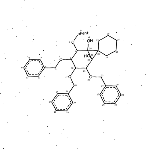 CCCCCOC1C(OCc2ccccc2)C(OCc2ccccc2)C(OCc2ccccc2)C2(O)C3(CCCCC3)C12O